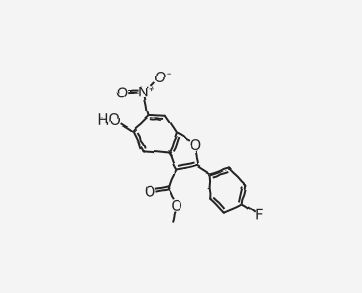 COC(=O)c1c(-c2ccc(F)cc2)oc2cc([N+](=O)[O-])c(O)cc12